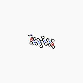 C=C/C=C\c1c(C)oc2c(N(c3ccccc3C)c3cccc4c3c3cccc5c6c(-c7ccccc7)c7c(c(-c8ccccc8)c6n4c35)c3cccc4c5c(N(c6ccccc6C)c6cccc8c6oc6ccccc68)cccc5n7c43)cccc12